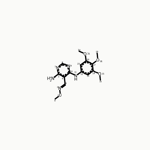 CON=Cc1c(N)ncnc1Nc1cc(OC)c(OC)c(OC)c1